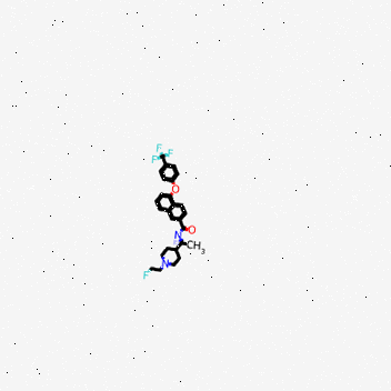 C/C(=N\C(=O)c1ccc2c(Oc3ccc(C(F)(F)F)cc3)cccc2c1)C1CCN(CCF)CC1